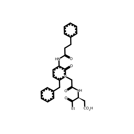 CCC(=O)[C@H](CC(=O)O)NC(=O)Cn1c(Cc2ccccc2)ccc(NC(=O)CCc2ccccc2)c1=O